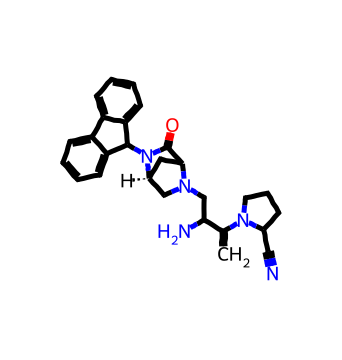 C=C(C(N)CN1C[C@@H]2CC1C(=O)N2C1c2ccccc2-c2ccccc21)N1CCCC1C#N